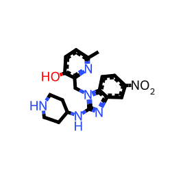 Cc1ccc(O)c(Cn2c(NC3CCNCC3)nc3cc([N+](=O)[O-])ccc32)n1